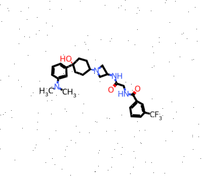 CN(C)c1cccc([C@]2(O)CC[C@H](N3CC(NC(=O)CNC(=O)c4cccc(C(F)(F)F)c4)C3)CC2)c1